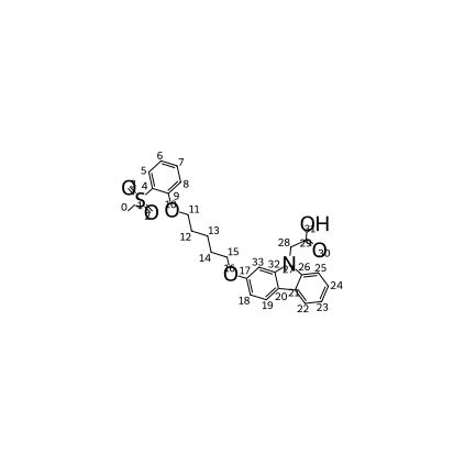 CS(=O)(=O)c1ccccc1OCCCCCOc1ccc2c3ccccc3n(CC(=O)O)c2c1